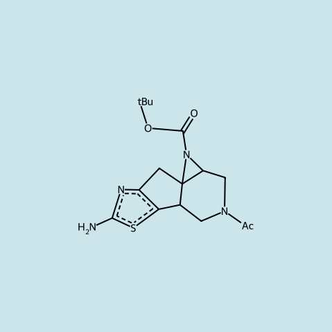 CC(=O)N1CC2c3sc(N)nc3CC23C(C1)N3C(=O)OC(C)(C)C